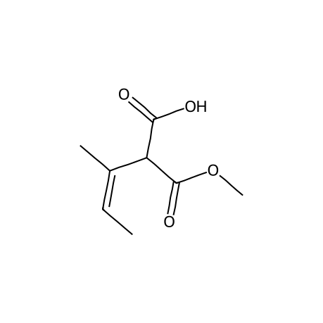 C/C=C(/C)C(C(=O)O)C(=O)OC